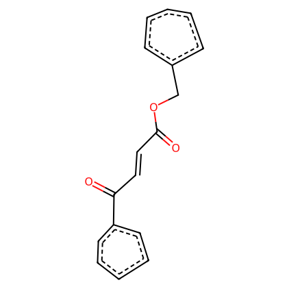 O=C(C=CC(=O)c1ccccc1)OCc1ccccc1